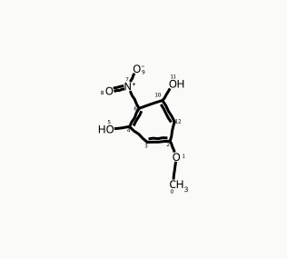 COc1cc(O)c([N+](=O)[O-])c(O)c1